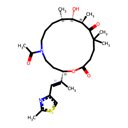 CC(=O)N1CCC[C@H](C)[C@H](O)[C@@H](C)C(=O)C(C)(C)CCC(=O)O[C@H](/C(C)=C/c2csc(C)n2)CC1